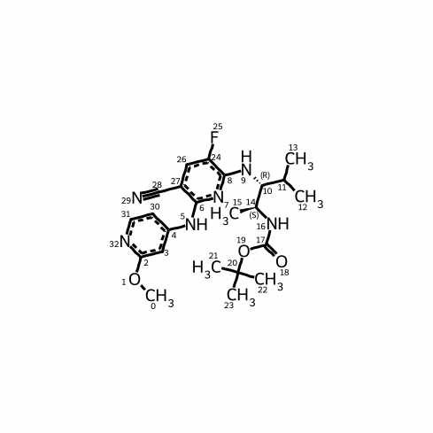 COc1cc(Nc2nc(N[C@H](C(C)C)[C@H](C)NC(=O)OC(C)(C)C)c(F)cc2C#N)ccn1